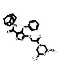 CC1CN(C(=O)COc2noc(C(=O)NC3C4CC5CC(C4)C3C5)c2Sc2ccccc2)C[C@@H](C)O1